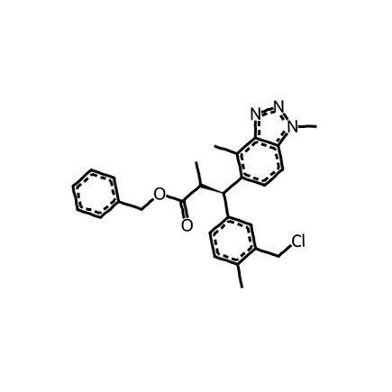 Cc1ccc([C@H](c2ccc3c(nnn3C)c2C)C(C)C(=O)OCc2ccccc2)cc1CCl